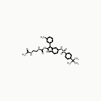 CC(=O)NCCNC(=O)Oc1[nH]c2ccc(NS(=O)(=O)c3ccc(C(C)(C)C)cc3)cc2c1-c1cccc(C)c1